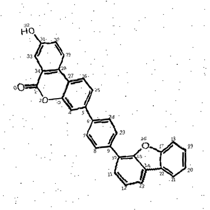 O=c1oc2cc(-c3ccc(-c4cccc5c4oc4ccccc45)cc3)ccc2c2ccc(O)cc12